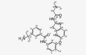 Cc1ccc(NC(=O)c2cccc(C(C)(C)N)c2)cc1Oc1ccc2nc(NC(=O)CN(C)C)sc2n1